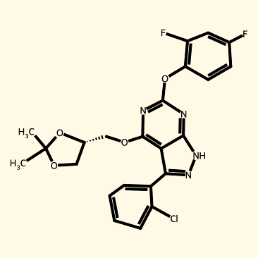 CC1(C)OC[C@@H](COc2nc(Oc3ccc(F)cc3F)nc3[nH]nc(-c4ccccc4Cl)c23)O1